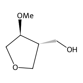 CO[C@@H]1COC[C@H]1CO